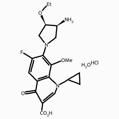 CCO[C@@H]1CN(c2c(F)cc3c(=O)c(C(=O)O)cn(C4CC4)c3c2OC)C[C@@H]1N.Cl.O